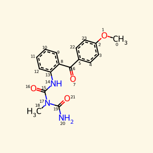 COc1ccc(C(=O)c2ccccc2NC(=O)N(C)C(N)=O)cc1